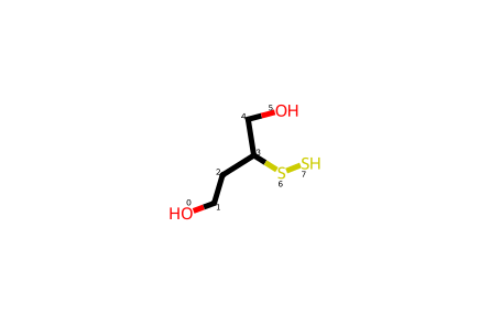 OCCC(CO)SS